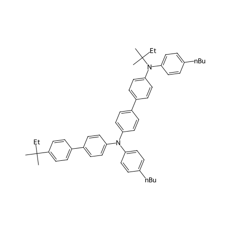 CCCCc1ccc(N(c2ccc(-c3ccc(N(c4ccc(CCCC)cc4)C(C)(C)CC)cc3)cc2)c2ccc(-c3ccc(C(C)(C)CC)cc3)cc2)cc1